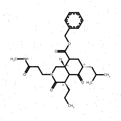 CCC[C@H]1C(=O)N(CCC(=O)NC)C[C@@H]2C(C(=O)OCc3ccccc3)C[C@H](CC(C)C)C(=O)C21